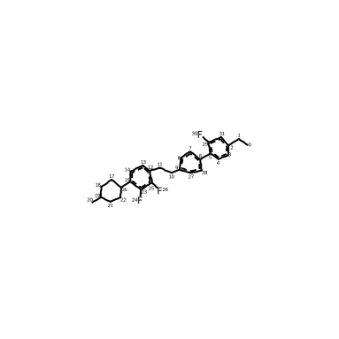 CCc1ccc(-c2ccc(CCc3ccc(C4CCC(C)CC4)c(F)c3F)cc2)c(F)c1